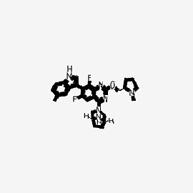 Cc1ccc2[nH]cc(-c3c(F)cc4c(N5C[C@H]6CC[C@@H](C5)N6)nc(OC[C@@H]5CCCN5C)nc4c3F)c2c1